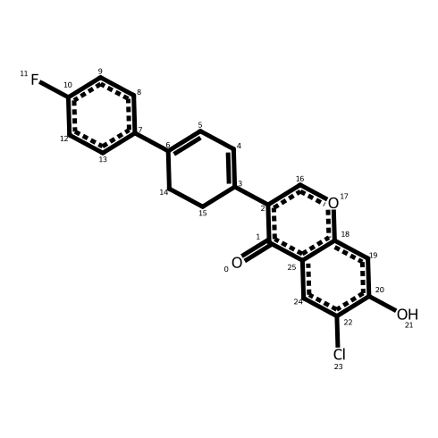 O=c1c(C2=CC=C(c3ccc(F)cc3)CC2)coc2cc(O)c(Cl)cc12